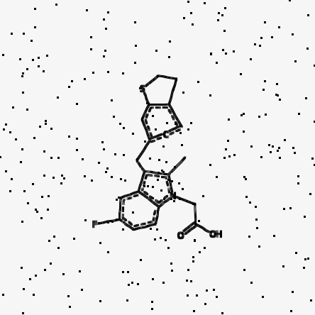 Cc1c(Cc2ccc3c(c2)SCC3)c2cc(F)ccc2n1CC(=O)O